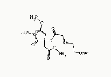 COCCOCC(=O)OC(CC(=O)OP)(CC(=O)OP)C(=O)OP